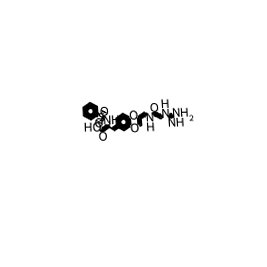 N=C(N)NCC(=O)NCC1COc2cc(C[C@H](NS(=O)(=O)c3ccccc3)C(=O)O)ccc2O1